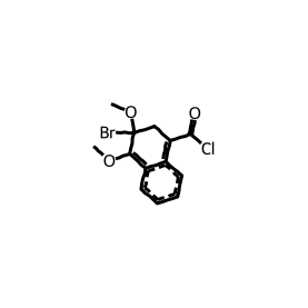 COC1=c2ccccc2=C(C(=O)Cl)CC1(Br)OC